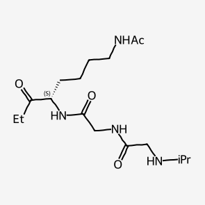 CCC(=O)[C@H](CCCCNC(C)=O)NC(=O)CNC(=O)CNC(C)C